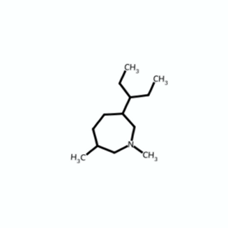 CCC(CC)C1CCC(C)CN(C)C1